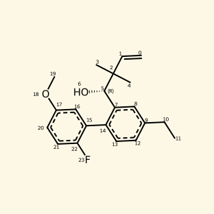 C=CC(C)(C)[C@@H](O)c1cc(CC)ccc1-c1cc(OC)ccc1F